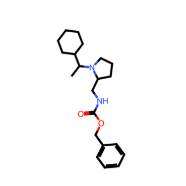 CC(C1CCCCC1)N1CCCC1CNC(=O)OCc1ccccc1